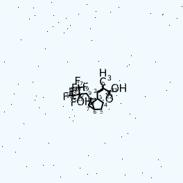 CC(=CC12[CH]CC(CC1CC(O)(C(F)(F)F)C(F)(F)F)C2)C(=O)O